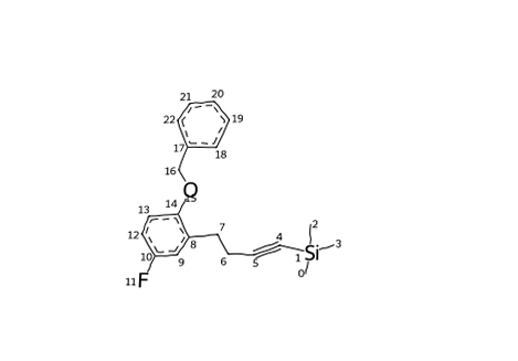 C[Si](C)(C)C#CCCc1cc(F)ccc1OCc1ccccc1